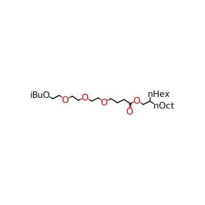 CCCCCCCCC(CCCCCC)COC(=O)CCCOCCOCCOCCOCC(C)C